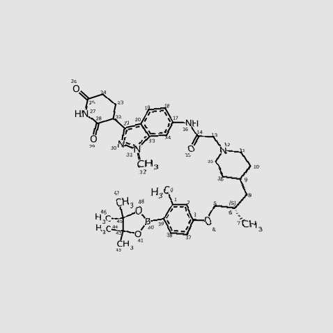 Cc1cc(OC[C@@H](C)CC2CCN(CC(=O)Nc3ccc4c(C5CCC(=O)NC5=O)nn(C)c4c3)CC2)ccc1B1OC(C)(C)C(C)(C)O1